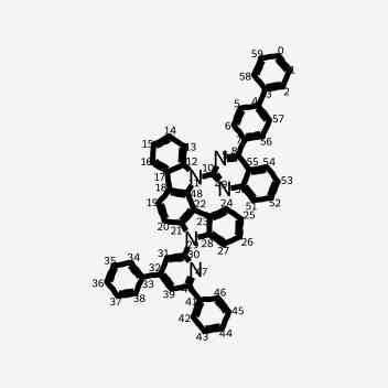 c1ccc(-c2ccc(-c3nc(-n4c5ccccc5c5ccc6c(c7ccccc7n6-c6cc(-c7ccccc7)cc(-c7ccccc7)n6)c54)nc4ccccc34)cc2)cc1